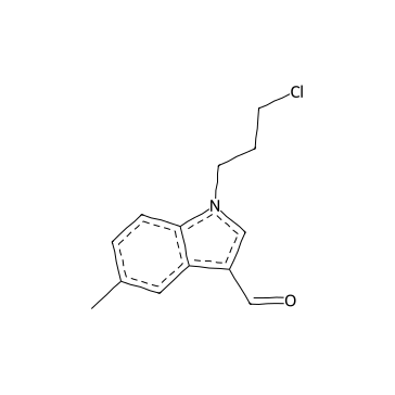 Cc1ccc2c(c1)c(C=O)cn2CCCCl